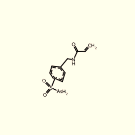 C=CC(=O)NCc1ccc(S(=O)(=O)[AsH2])cc1